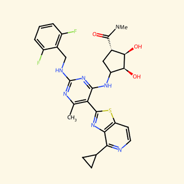 CNC(=O)[C@H]1CC(Nc2nc(NCc3c(F)cccc3F)nc(C)c2-c2nc3c(C4CC4)nccc3s2)[C@H](O)[C@@H]1O